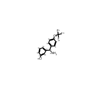 N[C@H](c1ccc(OC(F)(F)F)cc1)c1cccc(Cl)c1